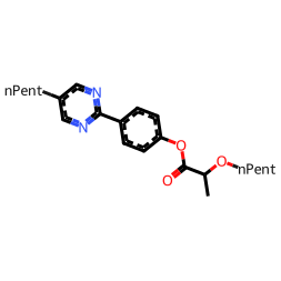 CCCCCOC(C)C(=O)Oc1ccc(-c2ncc(CCCCC)cn2)cc1